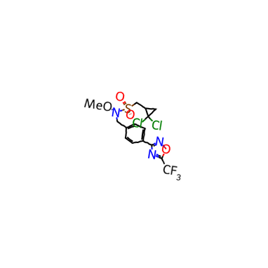 CON(Cc1ccc(-c2noc(C(F)(F)F)n2)cc1)S(=O)(=O)CC1CC1(Cl)Cl